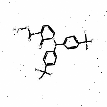 COC(=O)c1cccn(C(c2ccc(C(F)(F)F)cc2)c2ccc(C(F)(F)F)cc2)c1=O